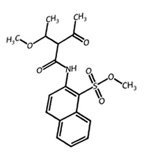 COC(C)C(C(C)=O)C(=O)Nc1ccc2ccccc2c1S(=O)(=O)OC